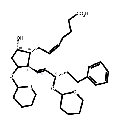 O=C(O)CCC/C=C\C[C@H]1[C@@H](O)CC(OC2CCCCO2)[C@@H]1/C=C/[C@H](CCc1ccccc1)OC1CCCCO1